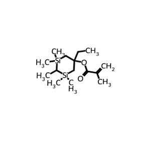 C=C(C)C(=O)OC1(CC)C[Si](C)(C)C(C)[Si](C)(C)C1